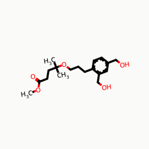 COC(=O)CCC(C)(C)OCCCc1ccc(CO)cc1CO